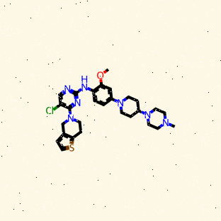 COc1cc(N2CCC(N3CCN(C)CC3)CC2)ccc1Nc1ncc(Cl)c(N2CCc3sccc3C2)n1